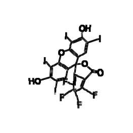 O=C1OC2(c3cc(I)c(O)c(I)c3Oc3c2cc(I)c(O)c3I)c2c(F)c(F)c(F)c(F)c21